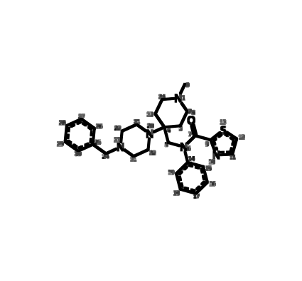 CN1CCC(CN(C(=O)c2nccs2)c2ccccc2)(N2CCN(Cc3ccccc3)CC2)CC1